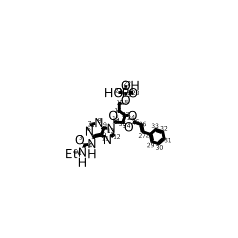 CCNC(=O)Nc1ncnc2c1ncn2C1OC(COP(=O)(O)O)C2OC(C=Cc3ccccc3)OC21